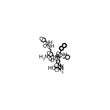 CC(C)(O)c1cnnn1[C@H]1C[C@@H](C(=O)NC(CCCCNC(=O)NC2CCOCC2)C(=O)C(N)=O)N(C(=O)[C@@H](CC2CCCCC2)NC(=O)c2ccc3ccccc3c2)C1